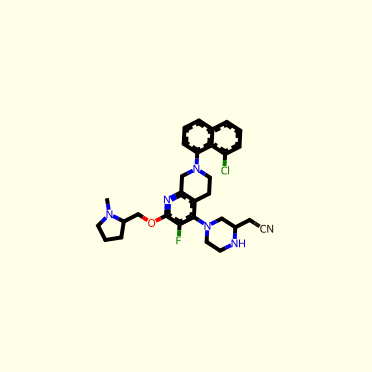 CN1CCCC1COc1nc2c(c(N3CCNC(CC#N)C3)c1F)CCN(c1cccc3cccc(Cl)c13)C2